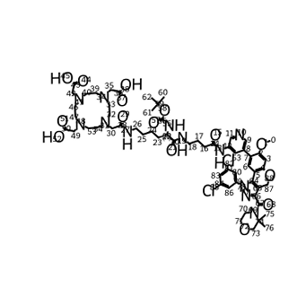 COc1cc2c(cc1-c1cncc(NC(=O)CCCNC(=O)[C@@H](CCCCNC(=O)CN3CCN(CC(=O)O)CCN(CC(=O)O)CCN(CC(=O)O)CC3)NC(=O)OC(C)(C)C)c1)-c1c(c(C(=O)N3CCOCC3(C)C)nn1-c1cc(Cl)cc(Cl)c1)CO2